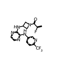 C=C(F)C(=O)N1CC(Nc2nccnc2Nc2ccc(C(F)(F)F)nc2)C1